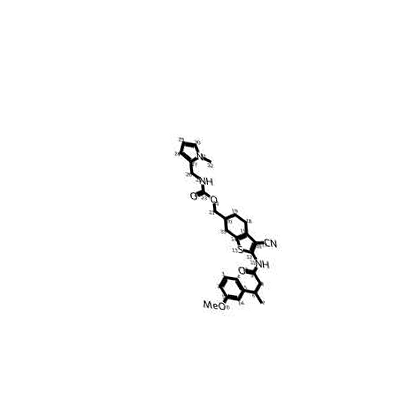 COc1cccc(C(C)CC(=O)Nc2sc3c(c2C#N)CCC(COC(=O)NCc2cccn2C)C3)c1